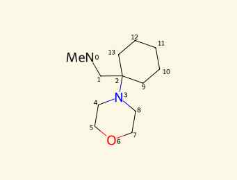 CNCC1(N2CCOCC2)CCCCC1